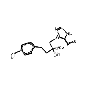 CC(C)(C)C(O)(CCc1ccc(Cl)cc1)CN1N=CNC1C=S